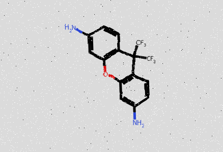 Nc1ccc2c(c1)Oc1cc(N)ccc1C2(C(F)(F)F)C(F)(F)F